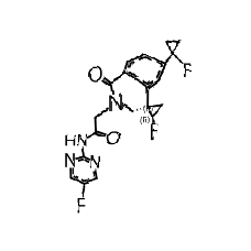 O=C(CN1C[C@@]2(C[C@H]2F)c2cc(C3(F)CC3)ccc2C1=O)Nc1ncc(F)cn1